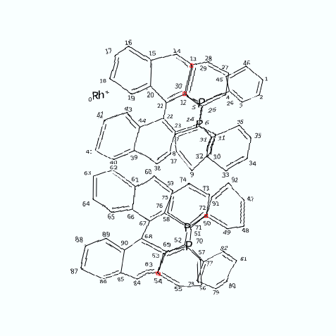 [Rh+].c1ccc(P(c2ccccc2)c2ccc3ccccc3c2-c2c(P(c3ccccc3)c3ccccc3)ccc3ccccc23)cc1.c1ccc(P(c2ccccc2)c2ccc3ccccc3c2-c2c(P(c3ccccc3)c3ccccc3)ccc3ccccc23)cc1